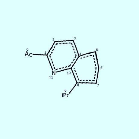 CC(=O)c1ccc2cccc(C(C)C)c2n1